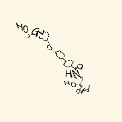 O=C(NC[C@@H](O)CO)C1CC=C(c2ccc(OCC3CCN(C(=O)O)CC3)cc2)CC1